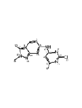 Cc1cc(Nc2ccc3c(C)n(C)nc3c2)nc(Cl)n1